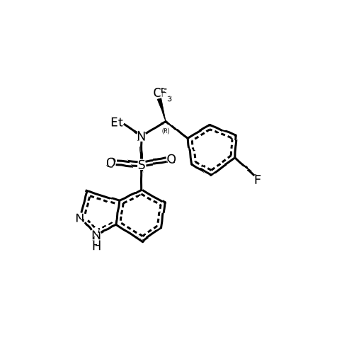 CCN([C@H](c1ccc(F)cc1)C(F)(F)F)S(=O)(=O)c1cccc2[nH]ncc12